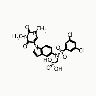 Cn1cc(-n2ccc3cc(N(CP(=O)(O)O)S(=O)(=O)c4cc(Cl)cc(Cl)c4)ccc32)c(=O)n(C)c1=O